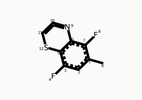 Cc1cc(F)c2c(c1F)N=C=CS2